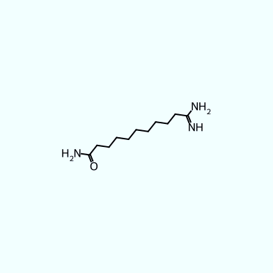 N=C(N)CCCCCCCCCC(N)=O